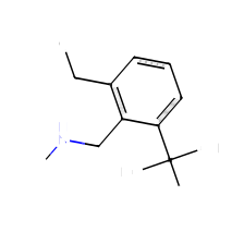 CCc1cccc(C(C)(C)C)c1CNC